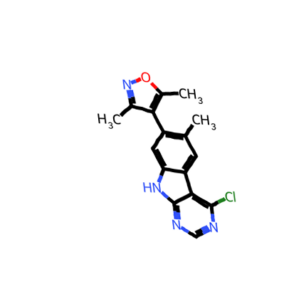 Cc1cc2c(cc1-c1c(C)noc1C)[nH]c1ncnc(Cl)c12